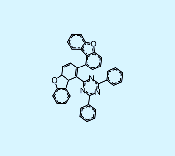 C1=CC2Oc3ccccc3C2C(c2nc(-c3ccccc3)nc(-c3ccccc3)n2)=C1c1cccc2oc3ccccc3c12